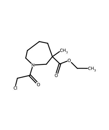 CCOC(=O)C1(C)CCCCN(C(=O)CCl)C1